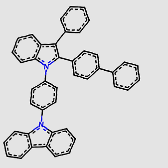 c1ccc(-c2ccc(-c3c(-c4ccccc4)c4ccccc4n3-c3ccc(-n4c5ccccc5c5ccccc54)cc3)cc2)cc1